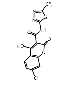 O=C(Nc1nnc(C(F)(F)F)s1)c1c(O)c2ccc(Cl)cc2oc1=O